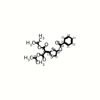 CC(C)OC(=O)C(C(=O)OC(C)C)=C1SCC(OC(=O)c2ccccc2)S1